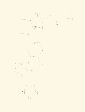 O=C(Nc1nc2cccc(-c3ccc(OC(Cc4nnn[nH]4)c4nnn[nH]4)cc3)n2n1)C1CC1